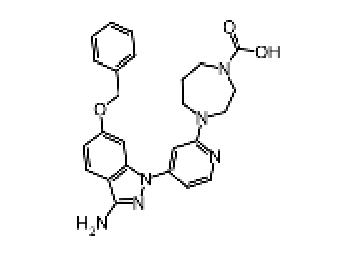 Nc1nn(-c2ccnc(N3CCCN(C(=O)O)CC3)c2)c2cc(OCc3ccccc3)ccc12